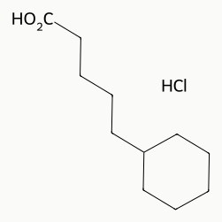 Cl.O=C(O)CCCCC1CCCCC1